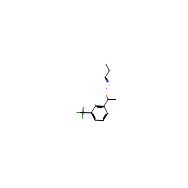 CCC=NOC(C)c1cccc(C(F)(F)F)c1